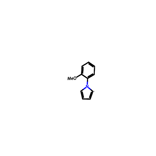 COc1ccccc1-n1[c]ccc1